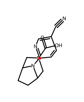 N#Cc1ccc(N2C3CCC2CN(C(=O)O)C3)nc1